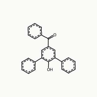 O=C(c1ccccc1)c1cc(-c2ccccc2)c(O)c(-c2ccccc2)c1